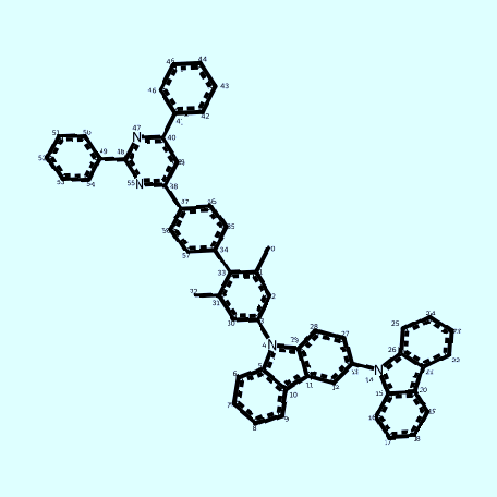 Cc1cc(-n2c3ccccc3c3cc(-n4c5ccccc5c5ccccc54)ccc32)cc(C)c1-c1ccc(-c2cc(-c3ccccc3)nc(-c3ccccc3)n2)cc1